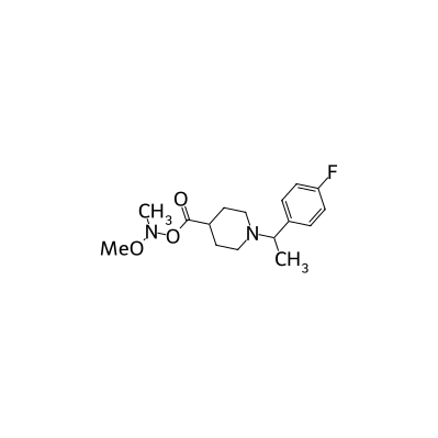 CON(C)OC(=O)C1CCN(C(C)c2ccc(F)cc2)CC1